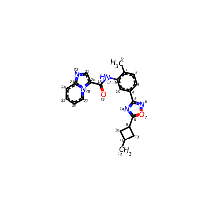 Cc1ccc(-c2noc(C3CC(C)C3)n2)cc1NC(=O)c1cnc2ccccn12